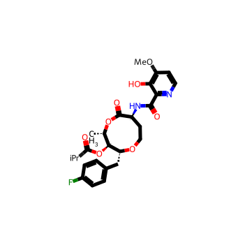 COc1ccnc(C(=O)N[C@H]2CCO[C@H](Cc3ccc(F)cc3)[C@@H](OC(=O)C(C)C)[C@H](C)OC2=O)c1O